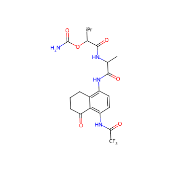 CC(NC(=O)C(OC(N)=O)C(C)C)C(=O)Nc1ccc(NC(=O)C(F)(F)F)c2c1CCCC2=O